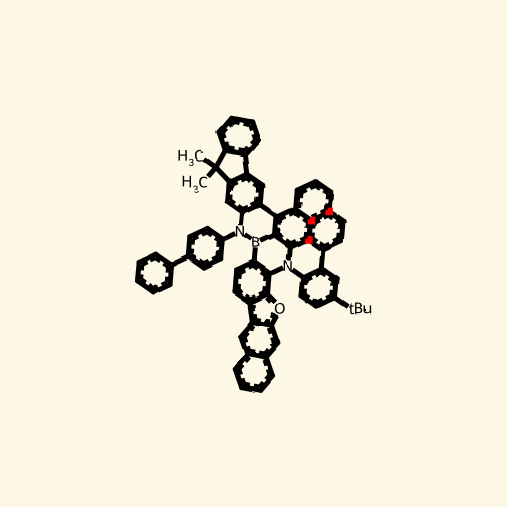 CC(C)(C)c1ccc(N2c3cc4ccccc4c4c3B(c3ccc5c(oc6cc7ccccc7cc65)c32)N(c2ccc(-c3ccccc3)cc2)c2cc3c(cc2-4)-c2ccccc2C3(C)C)c(-c2ccccc2)c1